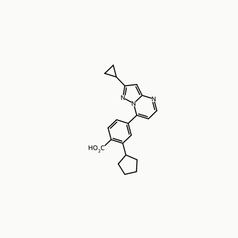 O=C(O)c1ccc(-c2ccnc3cc(C4CC4)nn23)cc1C1CCCC1